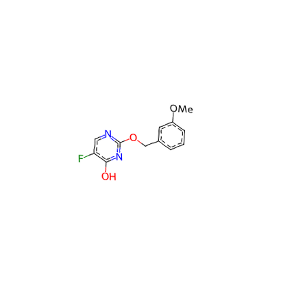 COc1cccc(COc2ncc(F)c(O)n2)c1